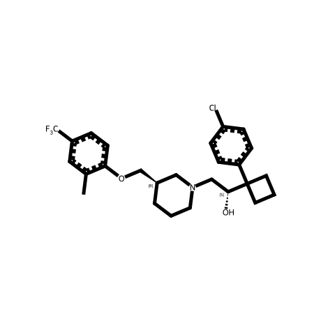 Cc1cc(C(F)(F)F)ccc1OC[C@@H]1CCCN(C[C@@H](O)C2(c3ccc(Cl)cc3)CCC2)C1